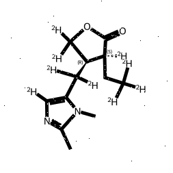 [2H]c1nc(C)n(C)c1C([2H])([2H])[C@H]1C([2H])([2H])OC(=O)[C@@]1([2H])CC([2H])([2H])[2H]